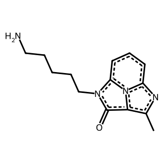 Cc1nc2cccc3n(CCCCCN)c(=O)c1n23